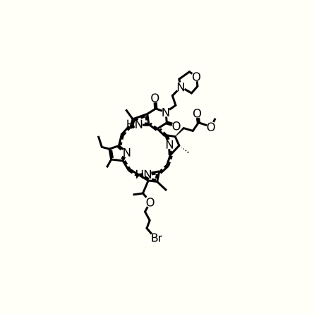 CCC1=C(C)c2cc3[nH]c(cc4nc(c5c6[nH]c(cc1n2)c(C)c6C(=O)N(CCN1CCOCC1)C5=O)[C@@H](CCC(=O)OC)[C@@H]4C)c(C)c3C(C)OCCCBr